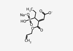 C=CCOC(=O)C(=CC(=O)[O-])C(CC)S(=O)(=O)O.[Na+]